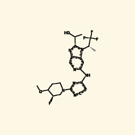 COC1CCN(c2nccc(Nc3cc4c(cn3)nc(C(C)O)n4[C@@H](C)C(F)(F)F)n2)C[C@H]1F